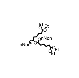 CCCCCCCCCOC(CCCCC(OCC)OCC)OC(CCCCC(OCC)OCC)OCCCCCCCCC